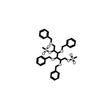 CS(=O)(=O)OCC(OCc1ccccc1)C(OCc1ccccc1)C(OCc1ccccc1)C(COCc1ccccc1)OS(C)(=O)=O